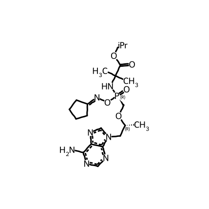 CC(C)OC(=O)C(C)(C)N[P@@](=O)(CO[C@H](C)Cn1cnc2c(N)ncnc21)ON=C1CCCC1